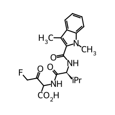 Cc1c(C(=O)N[C@H](C(=O)NC(C(=O)O)C(=O)CF)C(C)C)n(C)c2ccccc12